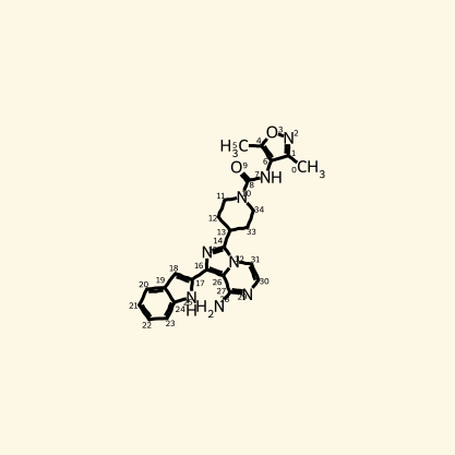 Cc1noc(C)c1NC(=O)N1CCC(c2nc(-c3cc4ccccc4[nH]3)c3c(N)nccn23)CC1